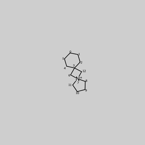 C1CCC2(CC1)C[N+]1(CCCC1)C2